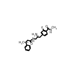 CNC(=O)c1ccc(C[C@H](N)CNC(=O)C[C@H](C)c2ccccc2)cc1F